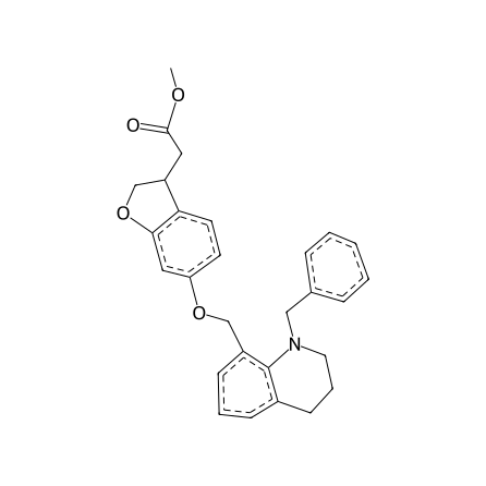 COC(=O)CC1COc2cc(OCc3cccc4c3N(Cc3ccccc3)CCC4)ccc21